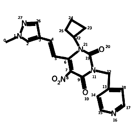 Cn1cc(/C=C/c2c([N+](=O)[O-])c(=O)n(Cc3ccncc3)c(=O)n2C2CCC2)cn1